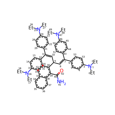 CCN(CC)c1ccc(C(=CC(C=C(c2ccc(N(CC)CC)cc2)c2ccc(N(CC)CC)cc2)c2ccc3ccccc3c2C(N)=O)c2ccc(N(CC)CC)cc2)cc1